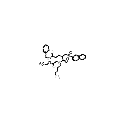 CCCCCN(CC(=O)OCC)C(=O)C(CCC(=O)OCc1ccccc1)CS(=O)(=O)c1ccc2ccccc2c1